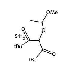 COC(C)OC(C(=O)C(C)(C)C)C(=O)C(C)(C)C.[SrH2]